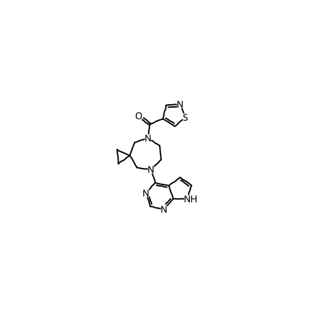 O=C(c1cnsc1)N1CCN(c2ncnc3[nH]ccc23)CC2(CC2)C1